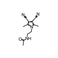 CC(=O)NCCn1c(C)c(C#N)c(C#N)c1C